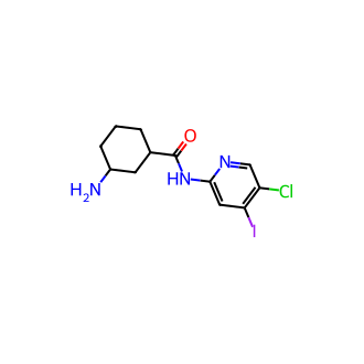 NC1CCCC(C(=O)Nc2cc(I)c(Cl)cn2)C1